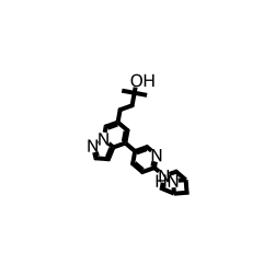 CC(C)(O)CCc1cc(-c2ccc(N3CC4CC(C3)N4)nc2)c2ccnn2c1